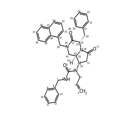 C=CCN(C(=O)NCc1ccccc1)N1CC(=O)N2[C@@H](Cc3ccccc3)C(=O)N(Cc3cccc4ccccc34)C[C@@H]21